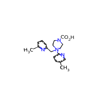 Cc1ccc([N+]2(Cc3cccc(C)n3)CCN(C(=O)O)CC2)nc1